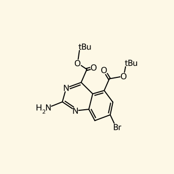 CC(C)(C)OC(=O)c1cc(Br)cc2nc(N)nc(C(=O)OC(C)(C)C)c12